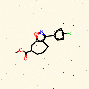 COC(=O)C1CCCc2c(-c3ccc(Cl)cc3)noc2C1